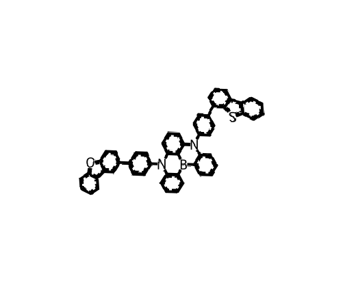 c1ccc2c(c1)B1c3ccccc3N(c3ccc(-c4cccc5c4sc4ccccc45)cc3)c3cccc(c31)N2c1ccc(-c2ccc3oc4ccccc4c3c2)cc1